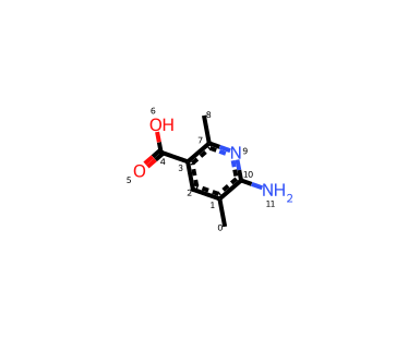 Cc1cc(C(=O)O)c(C)nc1N